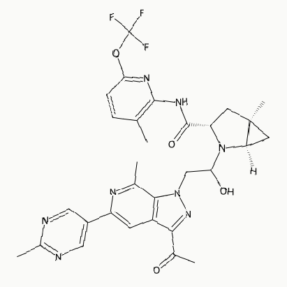 CC(=O)c1nn(CC(O)N2[C@H](C(=O)Nc3nc(OC(F)(F)F)ccc3C)C[C@@]3(C)C[C@@H]23)c2c(C)nc(-c3cnc(C)nc3)cc12